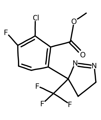 COC(=O)c1c(C2(C(F)(F)F)CCN=N2)ccc(F)c1Cl